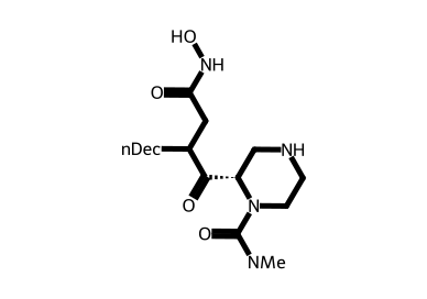 CCCCCCCCCCC(CC(=O)NO)C(=O)[C@@H]1CNCCN1C(=O)NC